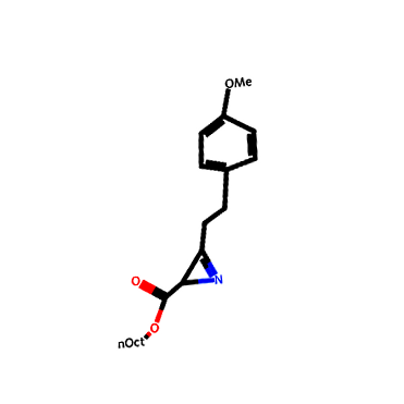 CCCCCCCCOC(=O)C1N=C1CCc1ccc(OC)cc1